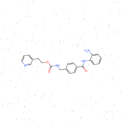 Nc1ccccc1NC(=O)c1ccc(CNC(=O)OCCc2cccnc2)cc1